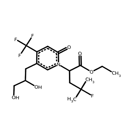 CCOC(=O)C(CC(C)(C)F)n1cc(CC(O)CO)c(C(F)(F)F)cc1=O